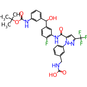 CC(C)(C)OC(=O)Nc1cccc(C(O)c2ccc(F)c(NC(=O)c3cc(C(F)(F)F)nn3-c3cccc(CNC(=O)O)c3)c2)c1